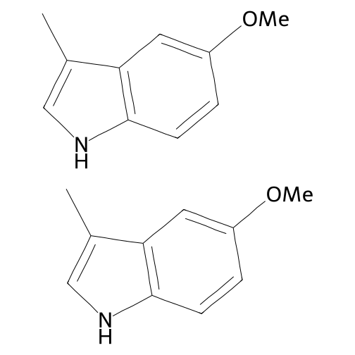 COc1ccc2[nH]cc(C)c2c1.COc1ccc2[nH]cc(C)c2c1